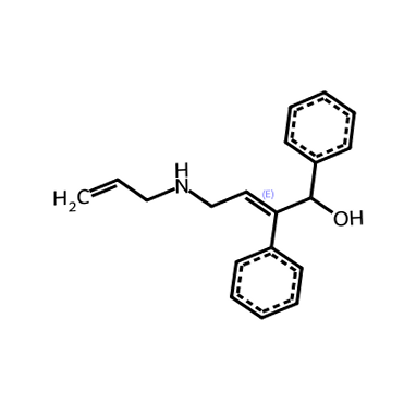 C=CCNC/C=C(\c1ccccc1)C(O)c1ccccc1